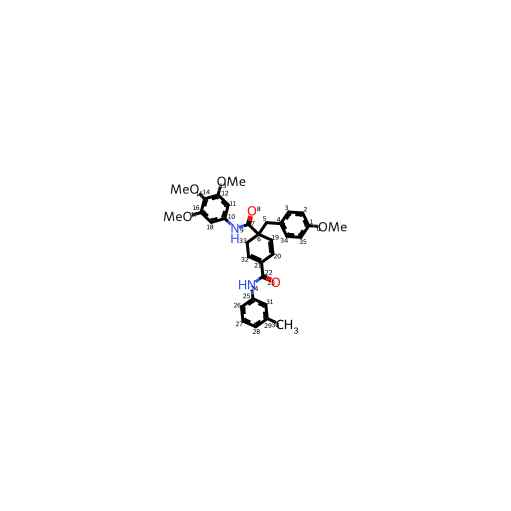 COc1ccc(CC2(C(=O)Nc3cc(OC)c(OC)c(OC)c3)C=CC(C(=O)Nc3cccc(C)c3)=CC2)cc1